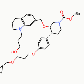 CC(C)(C)OC(=O)N1CC[C@H](c2ccc(OCCCOCC3CC3)cc2)[C@@H](OCc2ccc3c(c2)N(CCCO)CCC3)C1